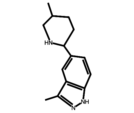 Cc1n[nH]c2ccc(C3CCC(C)CN3)cc12